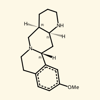 COc1ccc2c(c1)[C@H]1C[C@@H]3NCCC[C@@H]3CN1CC2